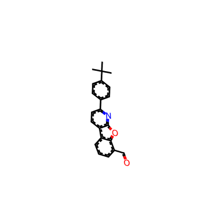 CC(C)(C)c1ccc(-c2ccc3c(n2)oc2c(C=O)cccc23)cc1